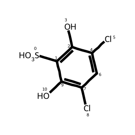 O=S(=O)(O)c1c(O)c(Cl)cc(Cl)c1O